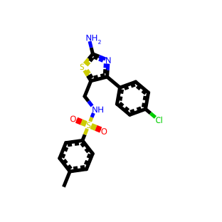 Cc1ccc(S(=O)(=O)NCc2sc(N)nc2-c2ccc(Cl)cc2)cc1